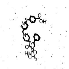 CNC(=O)N1CC(c2ccccc2)N(C2CCN(Cc3ccc(Sc4ccc(C(=O)O)cc4)nc3)CC2)C1=O